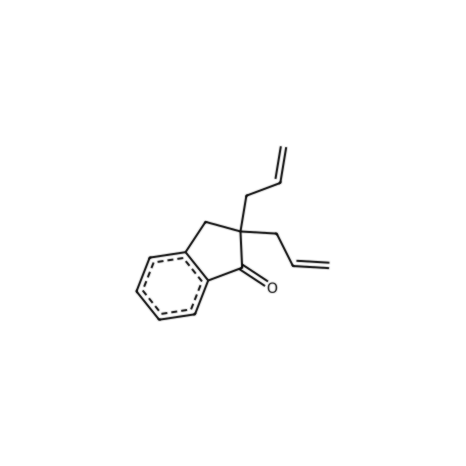 C=CCC1(CC=C)Cc2ccccc2C1=O